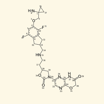 NC1(COc2cc(F)c3c(c2F)CC(CNCCC2CN(c4cnc5c(n4)NC(=O)CO5)C(=O)O2)C3)CC1